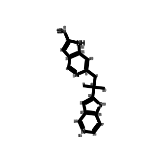 CC(C)(C)c1cc2cnc(CC(C)(C)c3cc4cnccc4s3)cc2[nH]1